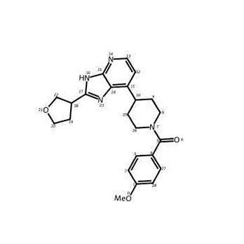 COc1ccc(C(=O)N2CCC(c3ccnc4[nH]c(C5CCOC5)nc34)CC2)cc1